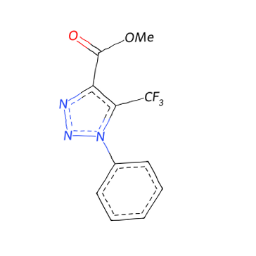 COC(=O)c1nnn(-c2ccccc2)c1C(F)(F)F